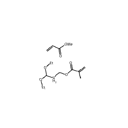 C=C(C)C(=O)OC[SiH2]C(OCC)OCC.C=CC(=O)OC